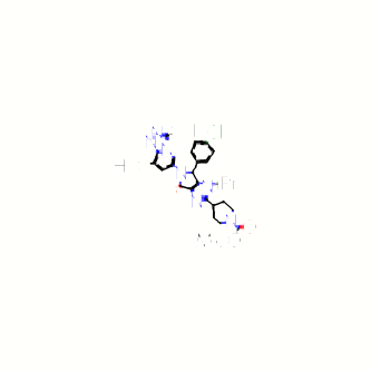 COC(=O)N1CCC(c2nc3c(n2C(C)C)C(c2ccc(Cl)cc2)N(c2cc(C)c4nnc(C)n4c2)C3=O)CC1